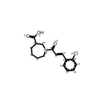 O=C(O)C1CCCCN(C(=O)C=Cc2ccccc2Cl)C1